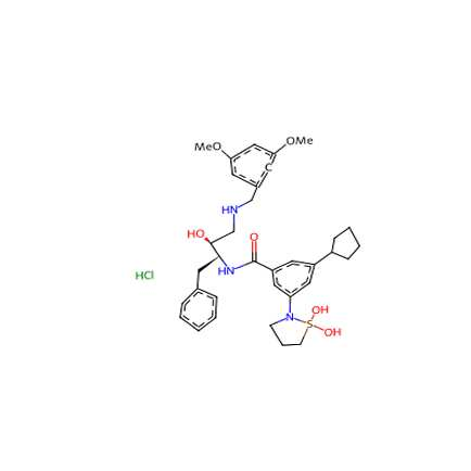 COc1cc(CNC[C@H](O)[C@H](Cc2ccccc2)NC(=O)c2cc(C3CCCC3)cc(N3CCCS3(O)O)c2)cc(OC)c1.Cl